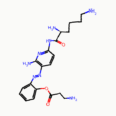 NCCCC[C@H](N)C(=O)Nc1ccc(/N=N/c2ccccc2OC(=O)CCN)c(N)n1